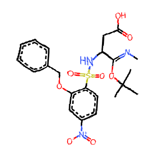 CN=C(OC(C)(C)C)C(CC(=O)O)NS(=O)(=O)c1ccc([N+](=O)[O-])cc1OCc1ccccc1